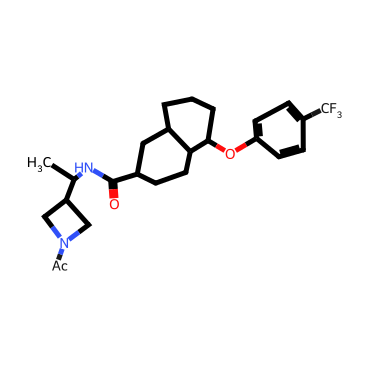 CC(=O)N1CC(C(C)NC(=O)C2CCC3C(CCCC3Oc3ccc(C(F)(F)F)cc3)C2)C1